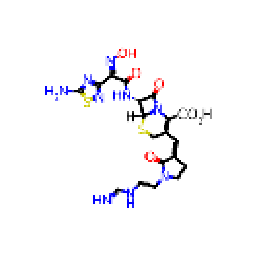 N=CNCCN1CCC(=CC2=C(C(=O)O)N3C(=O)[C@@H](NC(=O)/C(=N\O)c4nsc(N)n4)[C@H]3SC2)C1=O